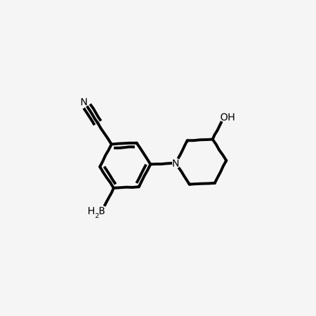 Bc1cc(C#N)cc(N2CCCC(O)C2)c1